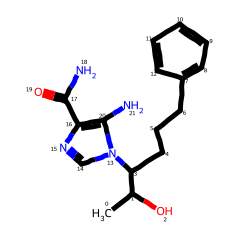 CC(O)C(CCCc1ccccc1)n1cnc(C(N)=O)c1N